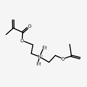 C=C(C)OCC[N+](CC)(CC)CCOC(=O)C(=C)C